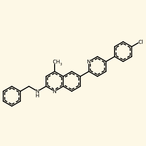 Cc1cc(NCc2ccccc2)nc2ccc(-c3ccc(-c4ccc(Cl)cc4)cn3)cc12